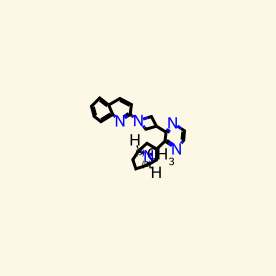 CN1[C@@H]2CC[C@H]1CC(c1nccnc1C1CN(c3ccc4ccccc4n3)C1)C2